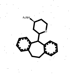 CC(=O)N[C@H]1CCOC(C2c3ccccc3CCc3ccccc32)C1